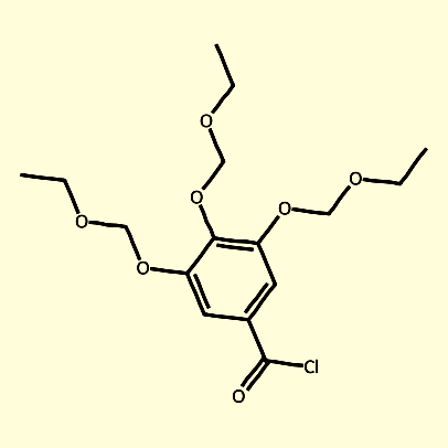 CCOCOc1cc(C(=O)Cl)cc(OCOCC)c1OCOCC